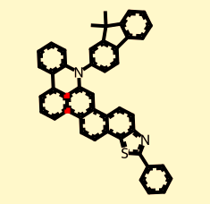 CC1(C)c2ccccc2-c2ccc(N(c3ccc4ccc5c(ccc6nc(-c7ccccc7)sc65)c4c3)c3ccccc3-c3ccccc3)cc21